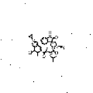 CC(C)C[C@@H](C(=O)N1C[C@]2(C[C@H]1C#N)C(=O)Nc1ccccc12)N(C)C(=O)C1=Cc2cn(C3CC3)nc2C(Cl)C1C